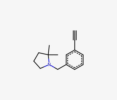 C#Cc1cccc(CN2CCCC2(C)C)c1